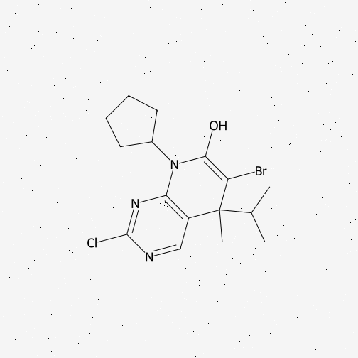 CC(C)C1(C)C(Br)=C(O)N(C2CCCC2)c2nc(Cl)ncc21